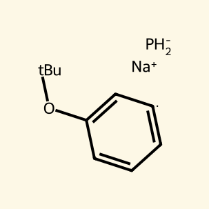 CC(C)(C)Oc1c[c]ccc1.[Na+].[PH2-]